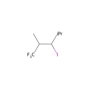 CC(C)C(I)C(C)C(F)(F)F